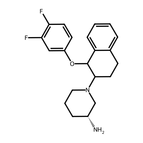 N[C@@H]1CCCN(C2CCc3ccccc3C2Oc2ccc(F)c(F)c2)C1